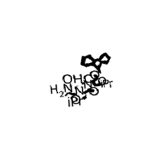 CC(C)C[C@@H](C(=O)N(C)[C@]([C]=O)(CC(C)C)C(=O)OCC1c2ccccc2-c2ccccc21)N(C)C(=O)[C@@H](C)N